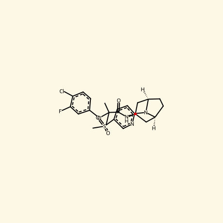 CC(C)(Oc1ccc(Cl)c(F)c1)C(=O)N[C@H]1C[C@H]2CC[C@@H](C1)N2c1ccc(S(C)(=O)=O)cn1